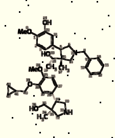 COc1ccc(C2CN(Cc3ccccc3)C[C@]2(C)[C@H](C)O)cc1O.COc1ccc([C@@H]2CNC[C@@]2(C)CO)cc1OCC1CC1